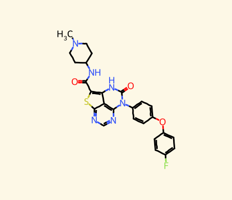 CN1CCC(NC(=O)c2sc3ncnc4c3c2NC(=O)N4c2ccc(Oc3ccc(F)cc3)cc2)CC1